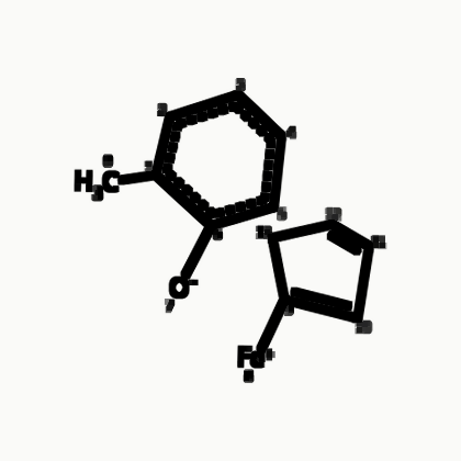 Cc1ccccc1[O-].[Fe+][C]1=CC=CC1